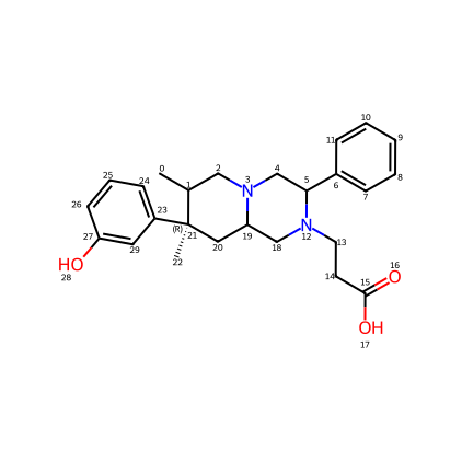 CC1CN2CC(c3ccccc3)N(CCC(=O)O)CC2C[C@@]1(C)c1cccc(O)c1